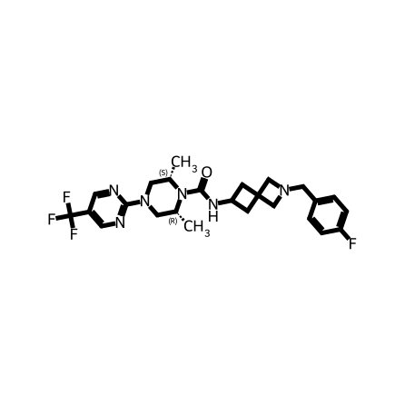 C[C@@H]1CN(c2ncc(C(F)(F)F)cn2)C[C@H](C)N1C(=O)NC1CC2(C1)CN(Cc1ccc(F)cc1)C2